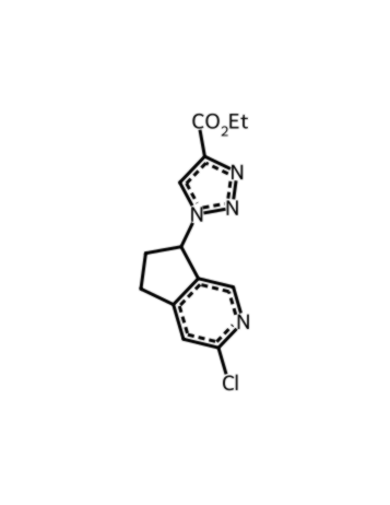 CCOC(=O)c1cn(C2CCc3cc(Cl)ncc32)nn1